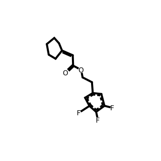 O=C(C=C1CCCCC1)OCCc1cc(F)c(F)c(F)c1